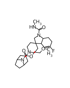 CNC(=O)N1CC2(CCN(C3CC4CCC(C3)N4C(=O)OCCOC)CC2)C2C=C(F)CCC21